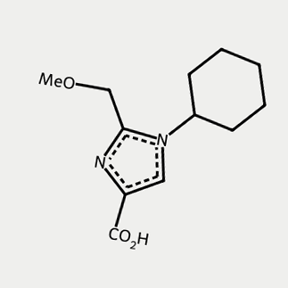 COCc1nc(C(=O)O)cn1C1CCCCC1